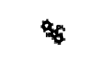 CN1C(c2ccccc2)NC2C=CC=CC21